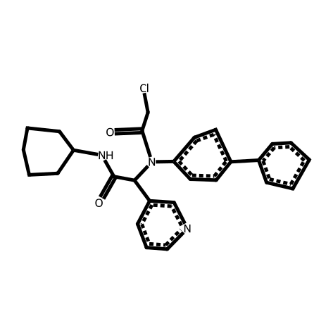 O=C(NC1CCCCC1)C(c1cccnc1)N(C(=O)CCl)c1ccc(-c2ccccc2)cc1